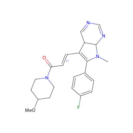 COC1CCN(C(=O)/C=C/C2=C(c3ccc(F)cc3)N(C)C3N=CN=CC23)CC1